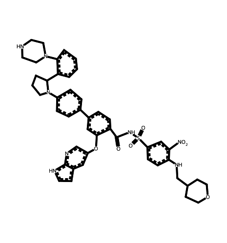 O=C(NS(=O)(=O)c1ccc(NCC2CCOCC2)c([N+](=O)[O-])c1)c1ccc(-c2ccc(N3CCCC3c3ccccc3N3CCNCC3)cc2)cc1Oc1cnc2[nH]ccc2c1